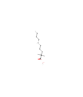 CCCCCCCCC(C)(C)C(=O)O[SiH3]